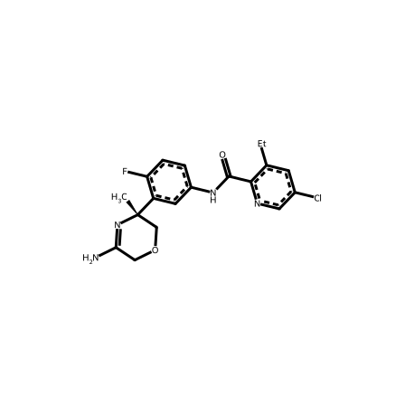 CCc1cc(Cl)cnc1C(=O)Nc1ccc(F)c([C@]2(C)COCC(N)=N2)c1